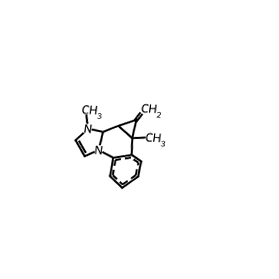 C=C1C2C3N(C)C=CN3c3ccccc3C12C